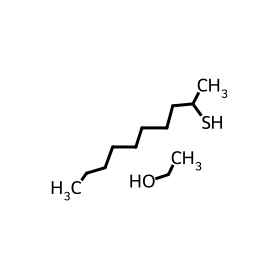 CCCCCCCCC(C)S.CCO